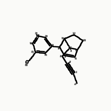 CC#CCN1C2C=CC(c3cncc(Cl)c3)C1CC2